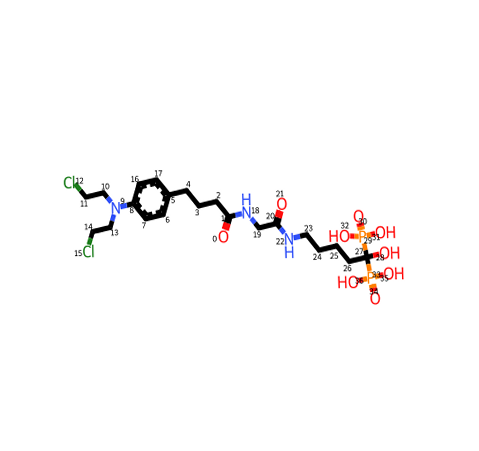 O=C(CCCc1ccc(N(CCCl)CCCl)cc1)NCC(=O)NCCCCC(O)(P(=O)(O)O)P(=O)(O)O